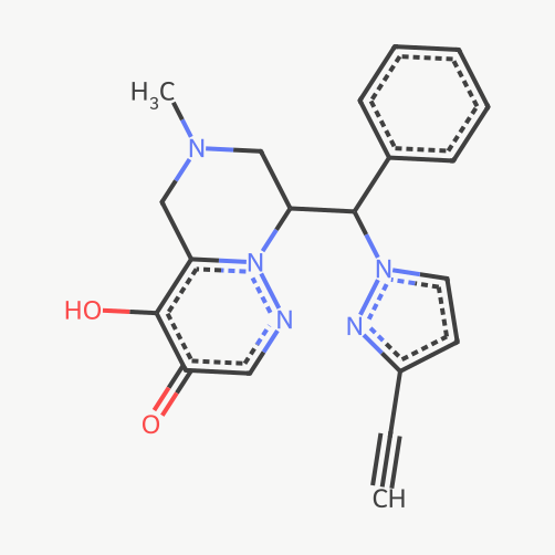 C#Cc1ccn(C(c2ccccc2)C2CN(C)Cc3c(O)c(=O)cnn32)n1